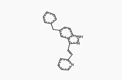 C(=Cc1n[nH]c2ccc(Cc3ccccc3)cc12)c1ccccn1